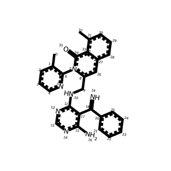 Cc1cccnc1-n1c(CNc2ncnc(N)c2C(=N)c2ccccc2)cc2cccc(C)c2c1=O